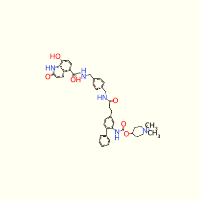 C[N+]1(C)CCC(OC(=O)Nc2cc(CCC(=O)NCc3ccc(CNC[C@H](O)c4ccc(O)c5[nH]c(=O)ccc45)cc3)ccc2-c2ccccc2)CC1